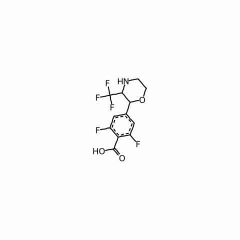 O=C(O)c1c(F)cc(C2OCCNC2C(F)(F)F)cc1F